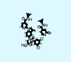 Cc1cn(-c2cc(C(=O)NC3CC3)ccn2)c2ccc(N(CC(=O)O)S(=O)(=O)c3cc(Cl)cc(Cl)c3)cc12.O=C(NC1CC1)c1ccnc(Br)c1